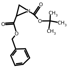 CC(C)(C)OC(=O)N1CC1C(=O)OCc1ccccc1